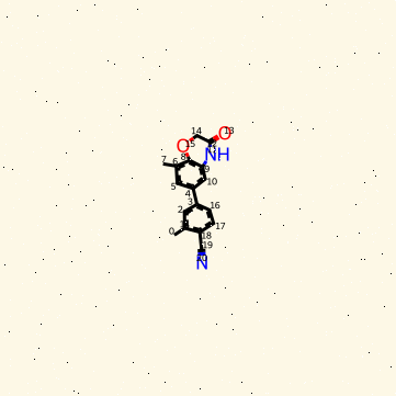 Cc1cc(-c2cc(C)c3c(c2)NC(=O)CO3)ccc1C#N